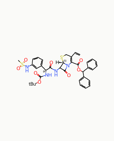 C=CC1=C(C(=O)OC(c2ccccc2)c2ccccc2)N2C(=O)C(NC(=O)[C@H](NC(=O)OC(C)(C)C)c3cccc(NS(C)(=O)=O)c3)[C@@H]2SC1